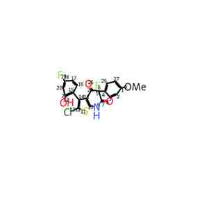 COc1ccc(C2(F)C(=O)Nc3sc(Cl)c(-c4ccc(F)cc4O)c3C2=O)cc1